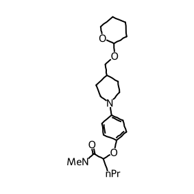 CCCC(Oc1ccc(N2CCC(COC3CCCCO3)CC2)cc1)C(=O)NC